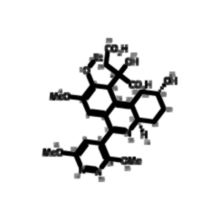 CCOC1=C(OC)C=C2C(c3cc(OC)nnc3OC)=N[C@@H]3CC[C@@H](O)CC3=C2C1C(O)(CC(=O)O)C(=O)O